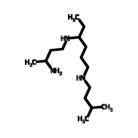 CCC(CCCNCCC(C)C)NCCC(C)N